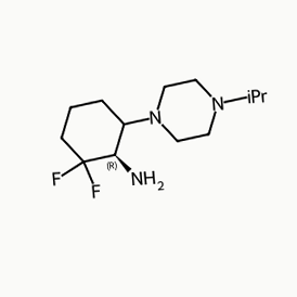 CC(C)N1CCN(C2CCCC(F)(F)[C@@H]2N)CC1